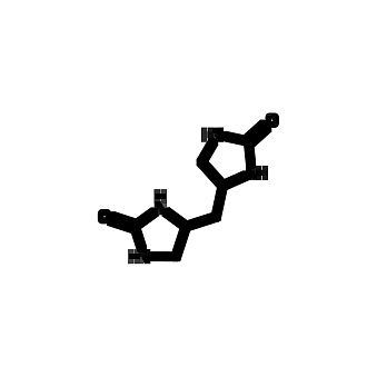 O=C1NCC(CC2CNC(=O)N2)N1